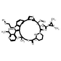 CCO[C@@H]1c2nc(cs2)-c2ccc3c(c2)c(c(-c2cccnc2[C@H](C)OC)n3CCOC(C)C)CC(C)(C)COC(=O)[C@@H]2CCCN(N2)C(=O)[C@H]1NC(=O)[C@H]1[C@H](C)[C@@H]1C